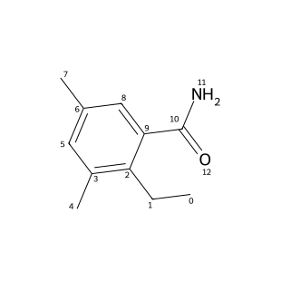 CCc1c(C)cc(C)cc1C(N)=O